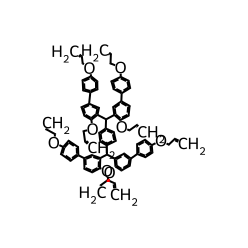 C=CCOc1ccc(-c2ccc(OCC=C)c(C(c3ccc(C(c4cc(-c5ccc(OCC=C)cc5)ccc4OCC=C)c4cc(-c5ccc(OCC=C)cc5)ccc4OCC=C)cc3)c3cc(-c4ccc(OCC=C)cc4)ccc3OCC=C)c2)cc1